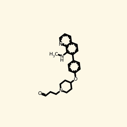 CNc1c(-c2ccc(OC3CCN(CCC=O)CC3)cc2)ccc2cccnc12